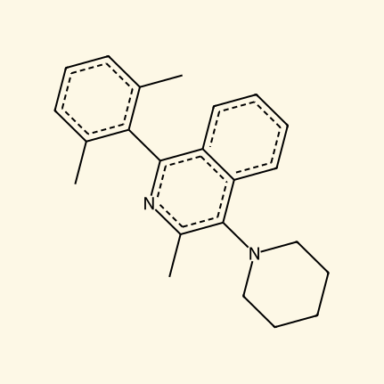 Cc1cccc(C)c1-c1nc(C)c(N2CCCCC2)c2ccccc12